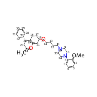 COc1ccccc1N1CCN(CCCCO[C@@H]2CCC3=C(C2)OC(C)CC3[C@H]2C=CC=CC2)CC1